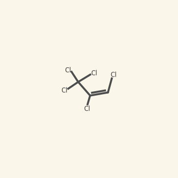 Cl/C=C(/Cl)C(Cl)(Cl)Cl